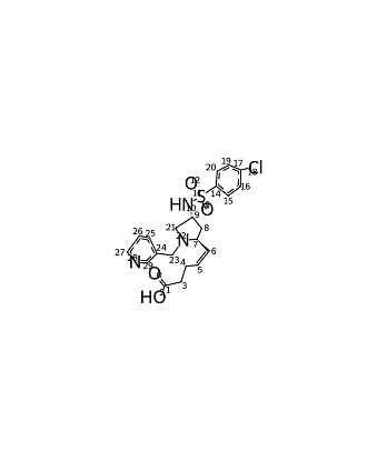 O=C(O)CC/C=C\[C@@H]1C[C@@H](NS(=O)(=O)c2ccc(Cl)cc2)CN1Cc1cccnc1